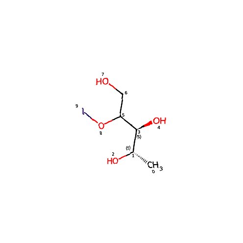 C[C@H](O)[C@H](O)C(CO)OI